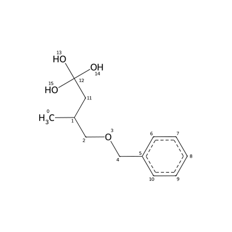 CC(COCc1ccccc1)CC(O)(O)O